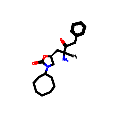 CC(N)(C[C@H]1CN(C2CCCCCCC2)C(=O)O1)C(=O)Cc1ccccc1